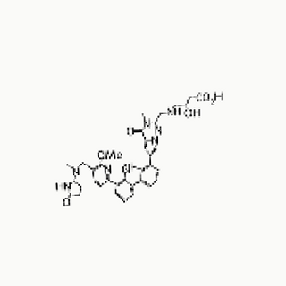 COc1nc(-c2cccc(-c3cccc(-c4cc5c(=O)n(C)c(CNC[C@@H](O)CC(=O)O)nn5c4)c3Cl)c2Cl)ccc1CN(C)[C@H]1CCC(=O)N1